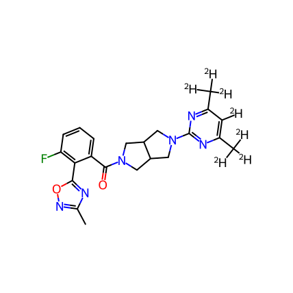 [2H]c1c(C([2H])([2H])[2H])nc(N2CC3CN(C(=O)c4cccc(F)c4-c4nc(C)no4)CC3C2)nc1C([2H])([2H])[2H]